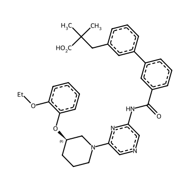 CCOc1ccccc1O[C@@H]1CCCN(c2cncc(NC(=O)c3cccc(-c4cccc(CC(C)(C)C(=O)O)c4)c3)n2)C1